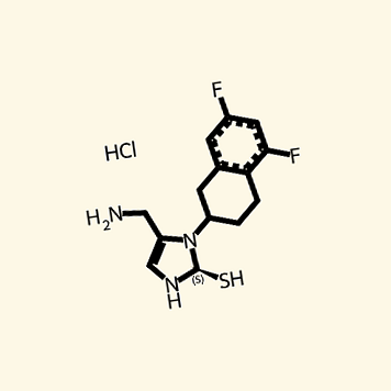 Cl.NCC1=CN[C@H](S)N1C1CCc2c(F)cc(F)cc2C1